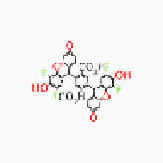 O=C(O)c1cc(-c2c3ccc(=O)cc-3oc3c(F)c(O)c(F)cc23)c(C(=O)O)cc1-c1c2ccc(=O)cc-2oc2c(F)c(O)c(F)cc12